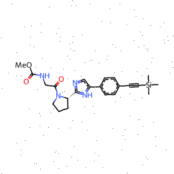 COC(=O)NCC(=O)N1CCC[C@H]1c1ncc(-c2ccc(C#C[Si](C)(C)C)cc2)[nH]1